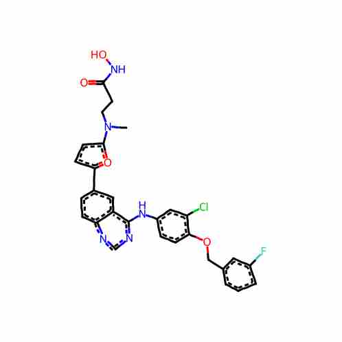 CN(CCC(=O)NO)c1ccc(-c2ccc3ncnc(Nc4ccc(OCc5cccc(F)c5)c(Cl)c4)c3c2)o1